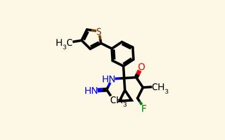 CC(=N)NC(C(=O)C(C)CF)(c1cccc(-c2cc(C)cs2)c1)C1CC1